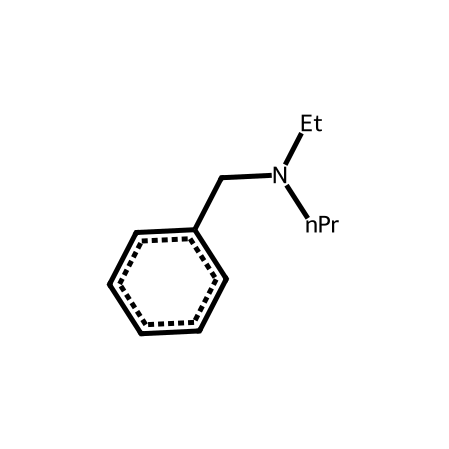 [CH2]CN(CCC)Cc1ccccc1